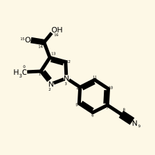 Cc1nn(-c2ccc(C#N)cc2)cc1C(=O)O